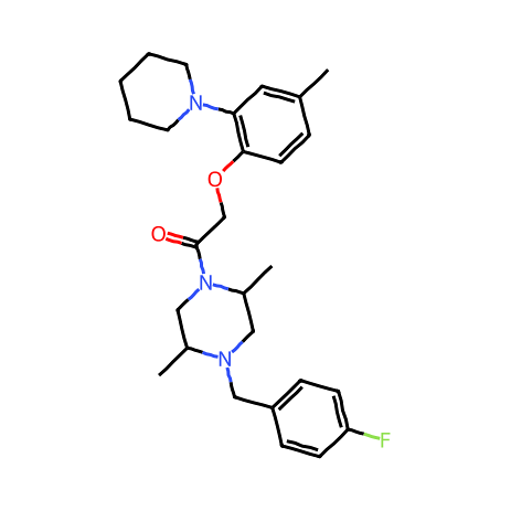 Cc1ccc(OCC(=O)N2CC(C)N(Cc3ccc(F)cc3)CC2C)c(N2CCCCC2)c1